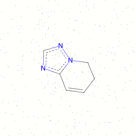 C1=Cc2ncnn2CC1